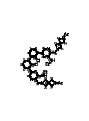 CCNc1nc(-c2cccc(-c3cccc(-c4cnc(CN5CC6(C5)CN(C(C)=O)C6)c(NCC)n4)c3Cl)c2Cl)cnc1CN1CC2(C1)CN(C(C)=O)C2